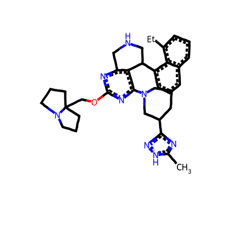 CCc1cccc2cccc(C3CNCc4nc(OCC56CCCN5CCC6)nc(N5CCCC(c6n[nH]c(C)n6)C5)c43)c12